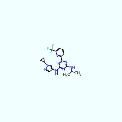 CC(C)Nc1nc(Nc2cnn(C3CC3)c2)nc(-c2cccc(C(F)(F)F)n2)n1